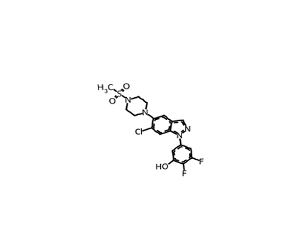 CS(=O)(=O)N1CCN(c2cc3cnn(-c4cc(O)c(F)c(F)c4)c3cc2Cl)CC1